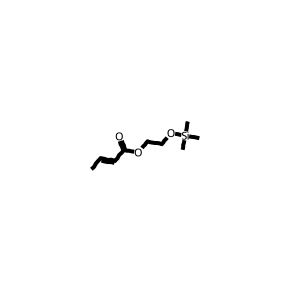 CC=CC(=O)OCCO[Si](C)(C)C